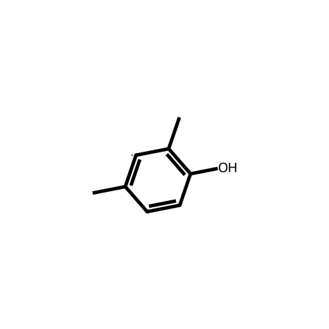 Cc1[c]c(C)c(O)cc1